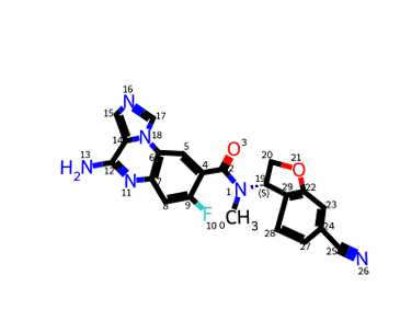 CN(C(=O)c1cc2c(cc1F)nc(N)c1cncn12)[C@@H]1COc2cc(C#N)ccc21